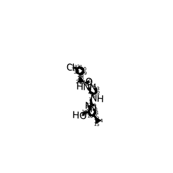 O=C(Nc1cc(NCc2cn3cc(C4CC4)cc(CO)c3n2)ccn1)[C@H]1C[C@@H]1c1cccc(Cl)c1